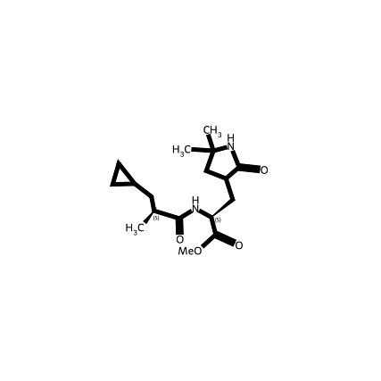 COC(=O)[C@H](CC1CC(C)(C)NC1=O)NC(=O)[C@@H](C)CC1CC1